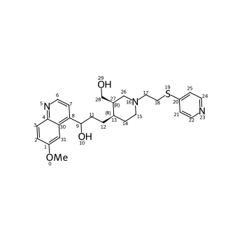 COc1ccc2nccc(C(O)CC[C@@H]3CCN(CCSc4ccncc4)C[C@@H]3CO)c2c1